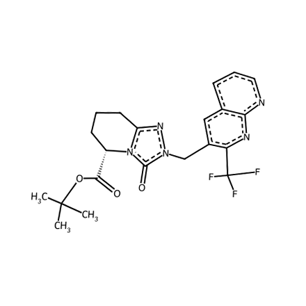 CC(C)(C)OC(=O)[C@@H]1CCCc2nn(Cc3cc4cccnc4nc3C(F)(F)F)c(=O)n21